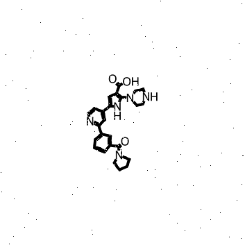 O=C(O)c1cc(-c2ccnc(-c3cccc(C(=O)N4CCCC4)c3)c2)[nH]c1N1CCNCC1